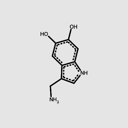 NCc1c[nH]c2cc(O)c(O)cc12